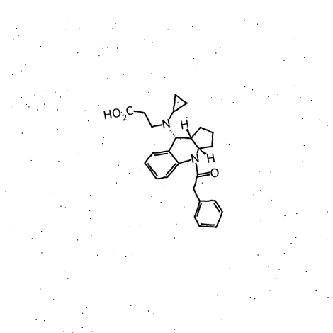 O=C(O)CCN(C1CC1)[C@H]1c2ccccc2N(C(=O)Cc2ccccc2)[C@H]2CCC[C@H]21